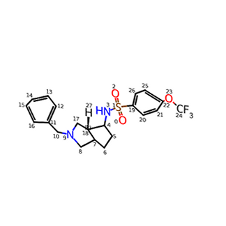 O=S(=O)(NC1CCC2CN(Cc3ccccc3)C[C@@H]21)c1ccc(OC(F)(F)F)cc1